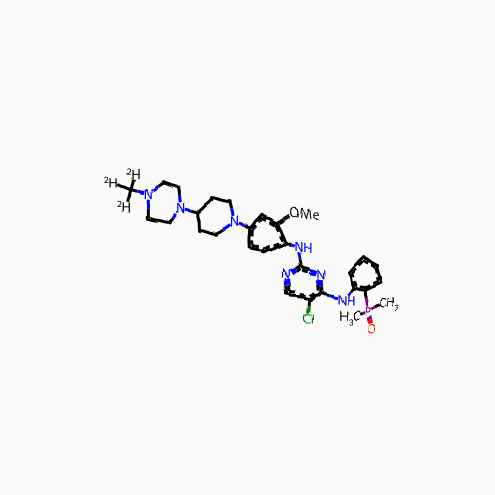 [2H]C([2H])([2H])N1CCN(C2CCN(c3ccc(Nc4ncc(Cl)c(Nc5ccccc5P(C)(C)=O)n4)c(OC)c3)CC2)CC1